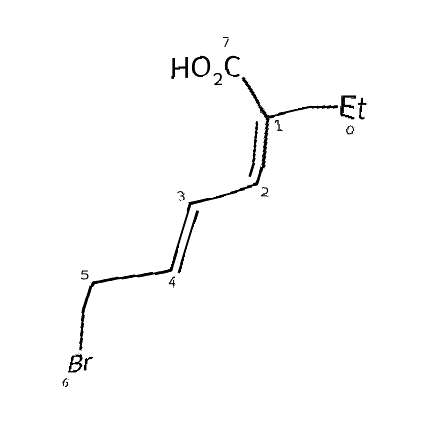 CCC(=CC=CCBr)C(=O)O